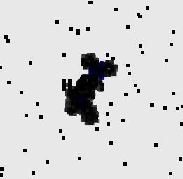 CC1(C)c2cc(-c3nc(-c4ccccc4)nc(-c4ccccc4)n3)ccc2-c2ccc(N3c4ccccc4-c4ccccc4-n4c3cc3cc5ccccc5cc34)cc21